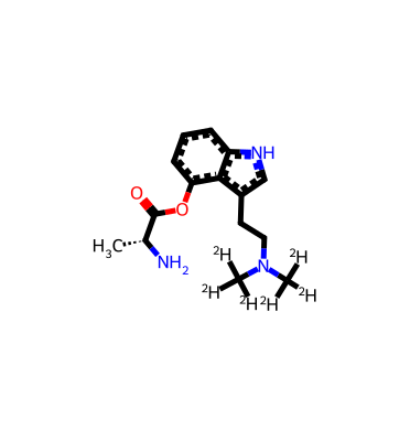 [2H]C([2H])([2H])N(CCc1c[nH]c2cccc(OC(=O)[C@@H](C)N)c12)C([2H])([2H])[2H]